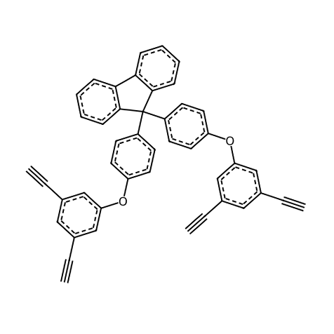 C#Cc1cc(C#C)cc(Oc2ccc(C3(c4ccc(Oc5cc(C#C)cc(C#C)c5)cc4)c4ccccc4-c4ccccc43)cc2)c1